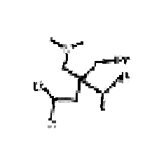 CCC(CC)CC(CC(C)C)(CN(C)C)C(C)C(C)C